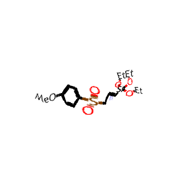 CCO[Si](/C=C/CS(=O)(=O)c1ccc(OC)cc1)(OCC)OCC